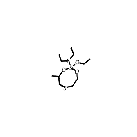 CCO[Si]1(N(CC)CC)OCCSCC(C)O1